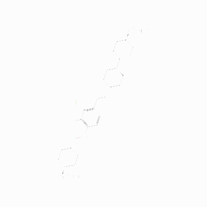 CCCCC[C@H]1CC[C@H](COc2ccc(CC[C@H]3CC[C@H]([C@H]4CC[C@H](CCCCC)CC4)CC3)c(F)c2F)CC1